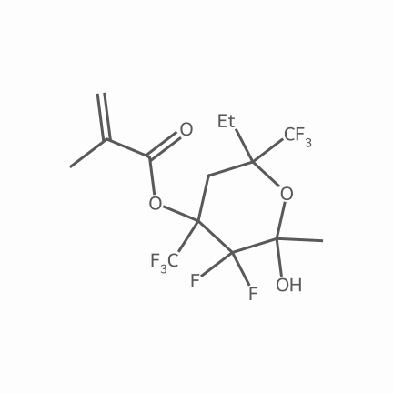 C=C(C)C(=O)OC1(C(F)(F)F)CC(CC)(C(F)(F)F)OC(C)(O)C1(F)F